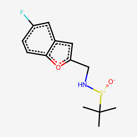 CC(C)(C)[S@@+]([O-])NCc1cc2cc(F)ccc2o1